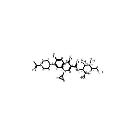 CC(=O)N1CCN(c2cc3c(cc2F)c(=O)c(C(=O)NC2[C@H](O)OC(CO)[C@@H](O)[C@@H]2O)cn3C2CC2)CC1